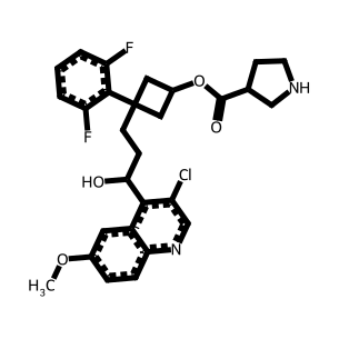 COc1ccc2ncc(Cl)c(C(O)CCC3(c4c(F)cccc4F)CC(OC(=O)C4CCNC4)C3)c2c1